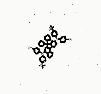 CC(C)c1ccc(N(c2ccc([Si](C)(C)C)cc2)c2ccc3c(c2)C(c2ccccc2)(c2ccccc2)c2cc(N(c4ccc(C(C)C)cc4)c4ccc([Si](C)(C)C)cc4)c4ccccc4c2-3)cc1